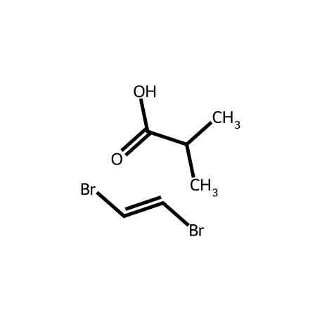 BrC=CBr.CC(C)C(=O)O